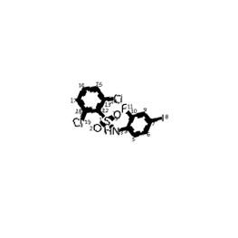 O=S(=O)(Nc1ccc(I)cc1F)c1c(Cl)cccc1Cl